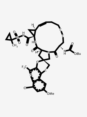 COc1cc(Cl)c2nc(C(F)(F)F)c3c(c2c1)CC[C@]1(C[C@H]2C(=O)N[C@]4(C(=O)NS(=O)(=O)C5(C)CC5)C[C@H]4/C=C\CCCCC[C@H](NC(=O)OCC(C)C)C(=O)N2C1)O3